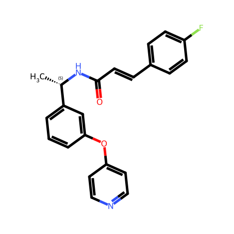 C[C@H](NC(=O)C=Cc1ccc(F)cc1)c1cccc(Oc2ccncc2)c1